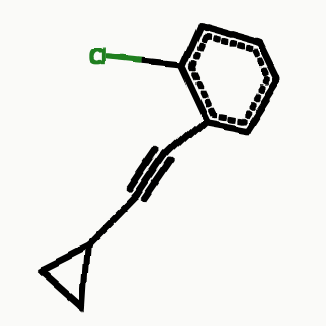 Clc1ccccc1C#CC1CC1